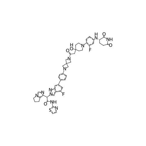 O=C1CC[C@H](Nc2ccc(N3CCC(O)(CC(=O)N4CC5(C4)CN(c4ccc(-c6cc(F)c7cn(C(C(=O)Nc8nccs8)c8ncn9c8CCC9)nc7c6)cc4)C5)CC3)c(F)c2)C(=O)N1